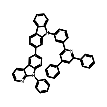 c1ccc(-c2cc(-c3ccccc3)nc(-c3cccc(-n4c5ccccc5c5ccc(-c6ccc7c(c6)c6cccnc6n7-c6ccccc6)cc54)c3)c2)cc1